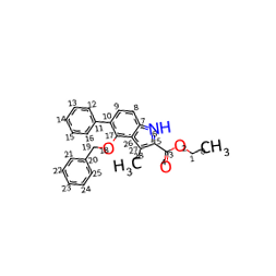 CCOC(=O)c1[nH]c2ccc(-c3ccccc3)c(OCc3ccccc3)c2c1C